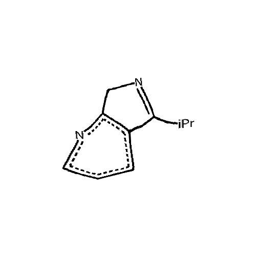 CC(C)C1=NCc2ncccc21